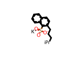 CC(C)CCCc1ccc2ccccc2c1S(=O)(=O)[O-].[K+]